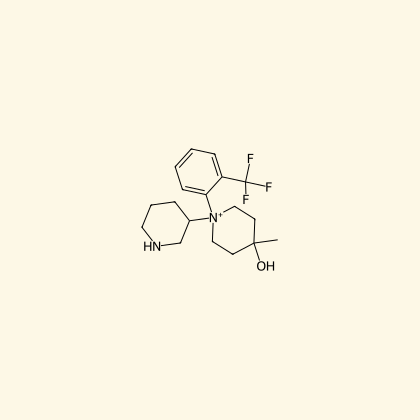 CC1(O)CC[N+](c2ccccc2C(F)(F)F)(C2CCCNC2)CC1